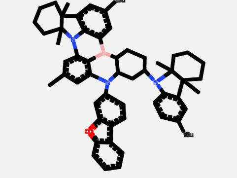 Cc1cc2c3c(c1)N1c4c(cc(C(C)(C)C)cc4C4(C)CCCCC14C)B3C1CCC(N3c4ccc(C(C)(C)C)cc4C4(C)CCCCC34C)CC1N2c1ccc2c(c1)oc1ccccc12